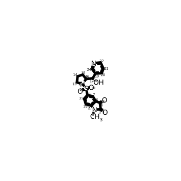 CN1C(=O)C(=O)c2cc(S(=O)(=O)N3CCCC3C(O)c3cccnc3)ccc21